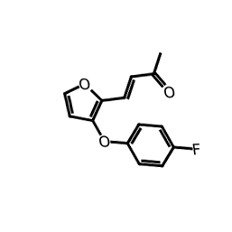 CC(=O)C=Cc1occc1Oc1ccc(F)cc1